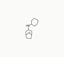 C1CCC(NC2CC3CCC(C2)O3)CC1